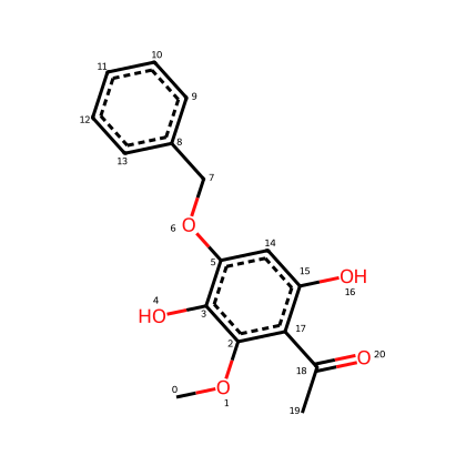 COc1c(O)c(OCc2ccccc2)cc(O)c1C(C)=O